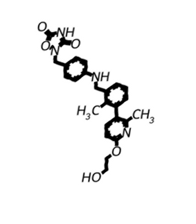 Cc1nc(OCCO)ccc1-c1cccc(CNc2ccc(Cn3oc(=O)[nH]c3=O)cc2)c1C